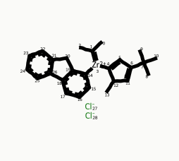 C[C](C)=[Zr+2]([C]1=CC(C(C)(C)C)=CC1C)[c]1cccc2c1Cc1ccccc1-2.[Cl-].[Cl-]